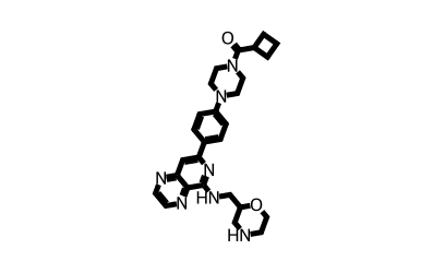 O=C(C1CCC1)N1CCN(c2ccc(-c3cc4nccnc4c(NCC4CNCCO4)n3)cc2)CC1